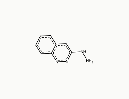 NNc1cc2ccccc2nn1